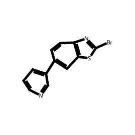 Brc1nc2ccc(-c3cccnc3)cc2s1